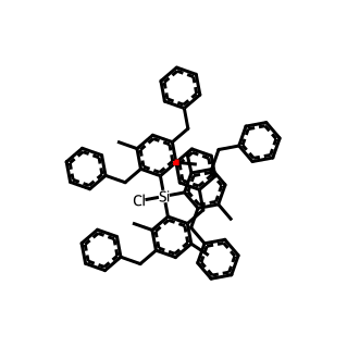 Cc1cc(Cc2ccccc2)c(C)c([Si](Cl)(c2c(C)c(Cc3ccccc3)cc(C)c2Cc2ccccc2)c2c(C)c(Cc3ccccc3)cc(C)c2Cc2ccccc2)c1Cc1ccccc1